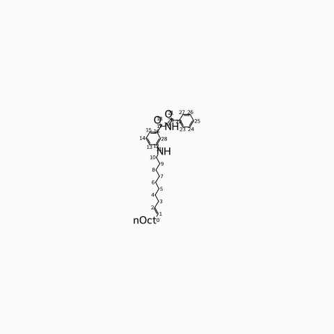 CCCCCCCC/C=C/CCCCCCCCNc1cccc(C(=O)NC(=O)c2ccccc2)c1